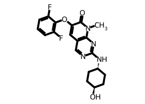 Cn1c(=O)c(Oc2c(F)cccc2F)cc2cnc(N[C@H]3CC[C@H](O)CC3)nc21